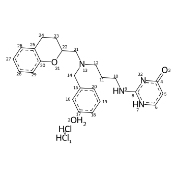 Cl.Cl.O.O=c1cc[nH]c(NCCCN(Cc2ccccc2)CC2CCc3ccccc3O2)n1